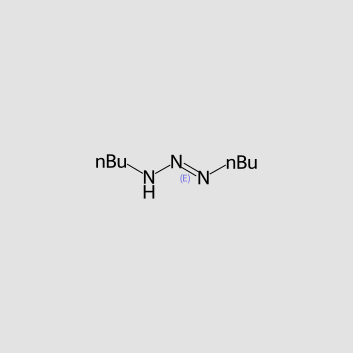 CCCC/N=N/NCCCC